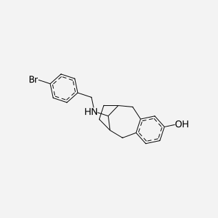 Oc1ccc2c(c1)CC1CCC(C2)C1NCc1ccc(Br)cc1